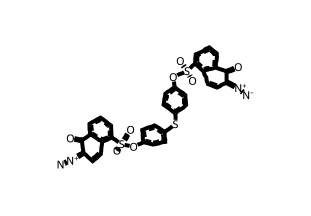 [N-]=[N+]=C1C=Cc2c(cccc2S(=O)(=O)Oc2ccc(Sc3ccc(OS(=O)(=O)c4cccc5c4C=CC(=[N+]=[N-])C5=O)cc3)cc2)C1=O